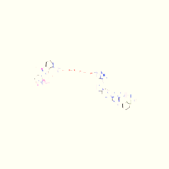 CC1(NCc2cn(CCOCCOCCOCCNc3cccc4c3C(=O)N(C3CCC(=O)NC3=O)C4=O)nn2)CCN(c2cnc(-c3cccc(Cl)c3Cl)c(N)n2)CC1